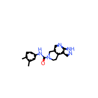 Cc1ccc(NC(=O)N2CCc3c(cnc4[nH]ncc34)C2)cc1C